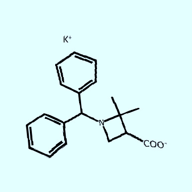 CC1(C)C(C(=O)[O-])CN1C(c1ccccc1)c1ccccc1.[K+]